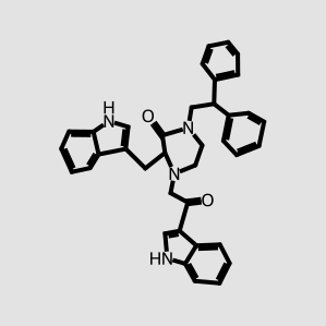 O=C(CN1CCN(CC(c2ccccc2)c2ccccc2)C(=O)C1Cc1c[nH]c2ccccc12)c1c[nH]c2ccccc12